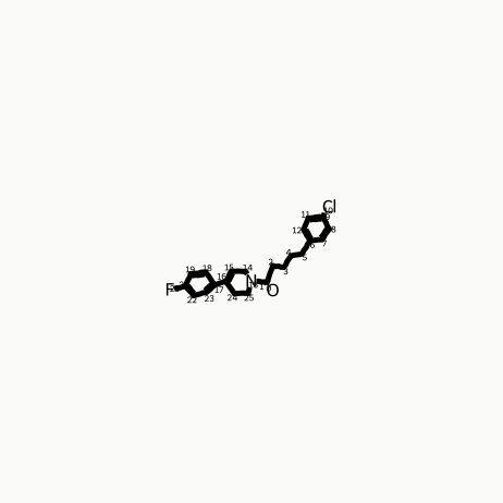 O=C(CCCCc1ccc(Cl)cc1)N1CC=C(c2ccc(F)cc2)CC1